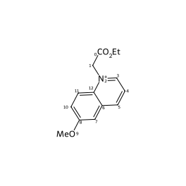 CCOC(=O)C[n+]1cccc2cc(OC)ccc21